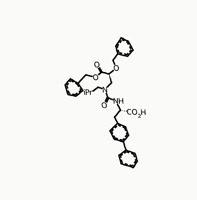 CC(C)CN(C[C@H](OCc1ccccc1)C(=O)OCc1ccccc1)C(=O)N[C@@H](Cc1ccc(-c2ccccc2)cc1)C(=O)O